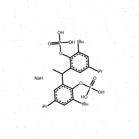 CC(C)c1cc(C(C)c2cc(C(C)C)cc(C(C)(C)C)c2OP(=O)(O)O)c(OP(=O)(O)O)c(C(C)(C)C)c1.[NaH]